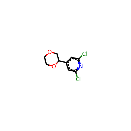 Clc1cc(C2COCCO2)cc(Cl)n1